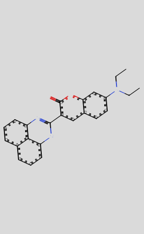 CCN(CC)c1ccc2cc(C3=Nc4cccc5cccc(c45)N3)c(=O)oc2c1